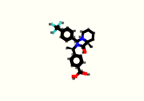 C[C@H](NC(=O)[C@]1(C)CCCCN1Cc1ccc(C(F)(F)F)cc1)c1ccc(C(=O)O)cc1